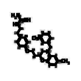 Cc1ccc2c(c1)N(Cc1cccc(Cl)c1)CC(CCOc1ccc(CCNC(=N)N)cc1)O2